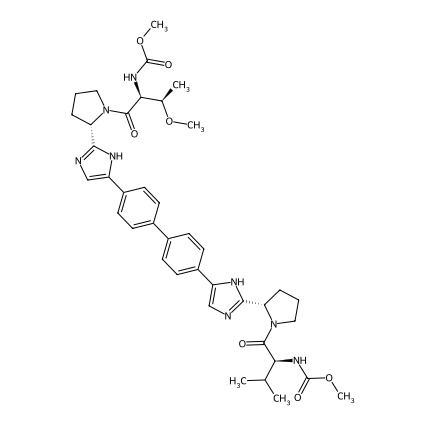 COC(=O)N[C@H](C(=O)N1CCC[C@H]1c1ncc(-c2ccc(-c3ccc(-c4cnc([C@@H]5CCCN5C(=O)[C@@H](NC(=O)OC)[C@@H](C)OC)[nH]4)cc3)cc2)[nH]1)C(C)C